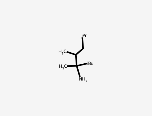 CCC(C)C(C)(N)C(C)CC(C)C